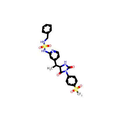 CC(c1ccnc(NS(=O)(=O)NCc2ccccc2)c1)C1NC(=O)N(c2ccc(S(=O)(=O)C(F)(F)F)cc2)C1=O